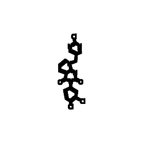 O=c1nc2n(Cc3cnc(Cl)nc3)cccc-2c(=O)n1-c1ccc(Cl)c(Cl)c1